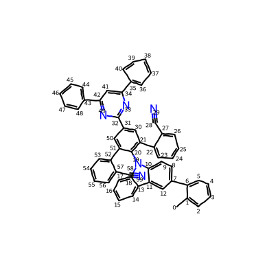 Cc1ccccc1-c1ccc2c(c1)c1ccccc1n2-c1c(-c2ccccc2C#N)cc(-c2nc(-c3ccccc3)cc(-c3ccccc3)n2)cc1-c1ccccc1C#N